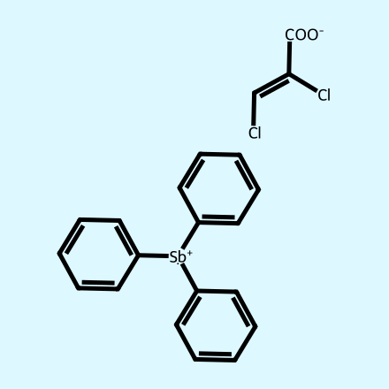 O=C([O-])C(Cl)=CCl.c1cc[c]([Sb+]([c]2ccccc2)[c]2ccccc2)cc1